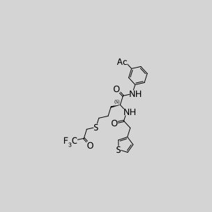 CC(=O)c1cccc(NC(=O)[C@H](CCCSCC(=O)C(F)(F)F)NC(=O)Cc2ccsc2)c1